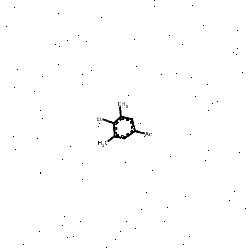 CCc1c(C)cc(C(C)=O)cc1C